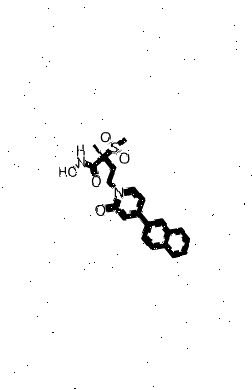 C[C@@](CCn1ccc(-c2ccc3ccccc3c2)cc1=O)(C(=O)NO)S(C)(=O)=O